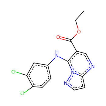 CCOC(=O)c1cnc2ccnn2c1Nc1ccc(Cl)c(Cl)c1